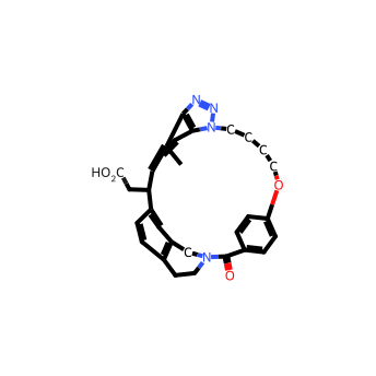 Cc1c2ccc3c1nnn3CCCCOc1ccc(cc1)C(=O)N1CCc3ccc(cc3C1)C2CC(=O)O